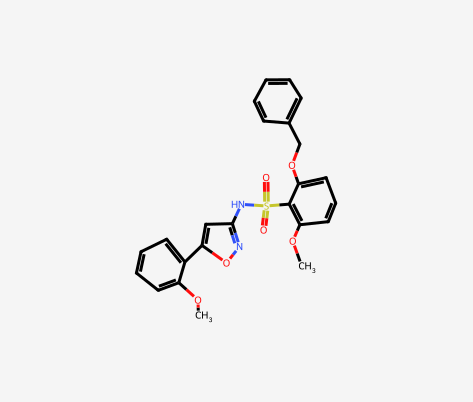 COc1ccccc1-c1cc(NS(=O)(=O)c2c(OC)cccc2OCc2ccccc2)no1